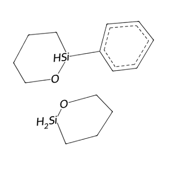 C1CC[SiH2]OC1.c1ccc([SiH]2CCCCO2)cc1